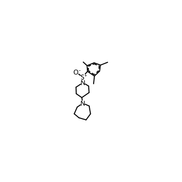 Cc1cc(C)c([S+]([O-])N2CCC(N3CCCCCC3)CC2)c(C)c1